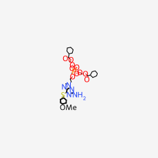 COc1ccc(Sc2nc(N)nc3c2ncn3CCOCP(=O)(OOCOC(=O)C2CCCCC2)OOCOC(=O)C2CCCCC2)cc1